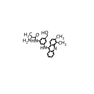 Cc1ccc2c(Nc3cc(CO)cc(NC(=O)C(C)N)c3)c3ccccc3nc2c1C